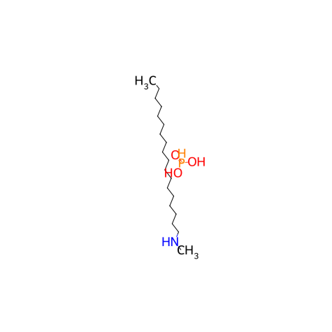 CCCCCCCCCCCCCCCCCCNC.O=[PH](O)O